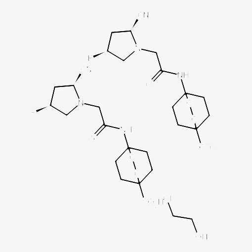 N#C[C@@H]1C[C@H](F)CN1CC(=O)NC12CCC(C(=O)O)(CC1)CC2.N#C[C@@H]1C[C@H](F)CN1CC(=O)NC12CCC(C(=O)O)(CC1)CC2.OCCO